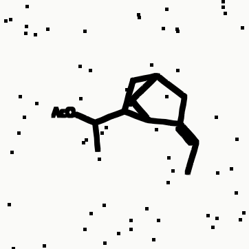 CC=C1CC2CC1C(C(C)OC(C)=O)C2